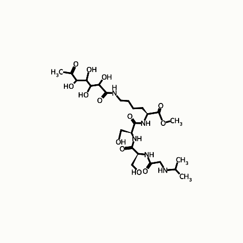 COC(=O)[C@H](CCCCNC(=O)C(O)C(O)C(O)C(O)C(C)=O)NC(=O)[C@H](CO)NC(=O)[C@H](CO)NC(=O)CNC(C)C